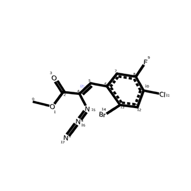 COC(=O)/C(=C/c1cc(F)c(Cl)cc1Br)N=[N+]=[N-]